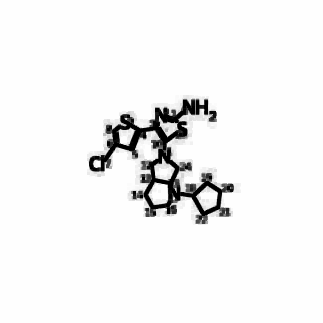 Nc1nc(-c2cc(Cl)cs2)c(N2CC3CCCN(C4CCCC4)C3C2)s1